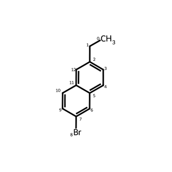 CCc1ccc2cc(Br)ccc2c1